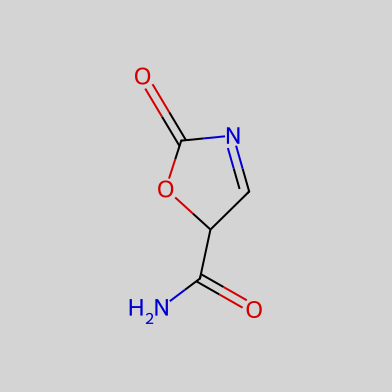 NC(=O)C1C=NC(=O)O1